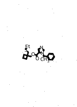 CCSCC1(COC(=O)c2cncn2[C@H](C)c2ccccc2)CCC1